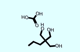 CCCC(CO)(CO)CO.O=C(O)O